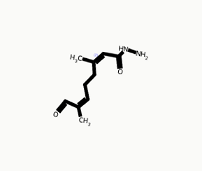 CC(C=O)=CCC/C(C)=C\C(=O)NN